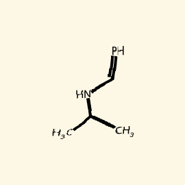 CC(C)NC=P